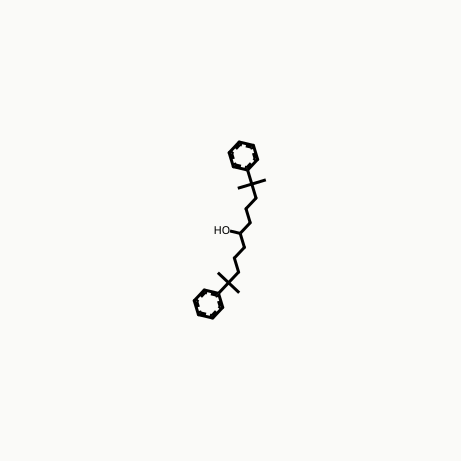 CC(C)(CCCC(O)CCCC(C)(C)c1ccccc1)c1ccccc1